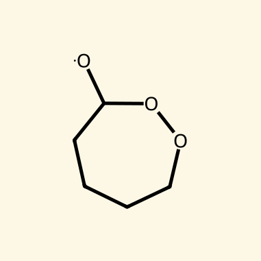 [O]C1CCCCOO1